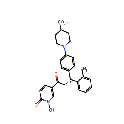 Cc1ccccc1[C@H](CC(=O)c1ccc(=O)n(C)c1)c1ccc(N2CCC(C(=O)O)CC2)cc1